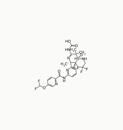 CC1(C)C(NC(=O)O)=N[C@](C)(c2nc(NC(=O)c3ccc(OC(F)F)cn3)ccc2F)[C@H]2CC(F)(F)CN[SH]21=O